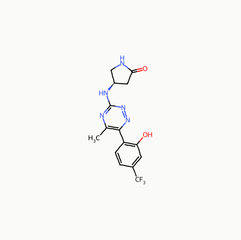 Cc1nc(N[C@H]2CNC(=O)C2)nnc1-c1ccc(C(F)(F)F)cc1O